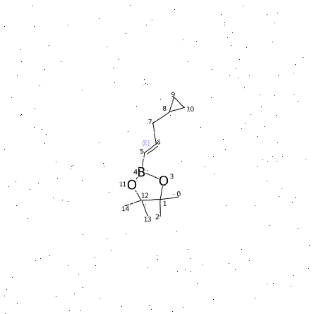 CC1(C)OB(/C=C/CC2CC2)OC1(C)C